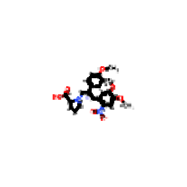 COc1ccc(/C(=C\c2cc(OC)c(OC)cc2[N+](=O)[O-])CN2CCCC2C(=O)O)cc1